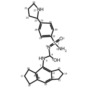 NS(=O)(=NC(O)Nc1c2c(cc3c1CCC3)CCC2)c1ccc(C2CCCN2)cc1